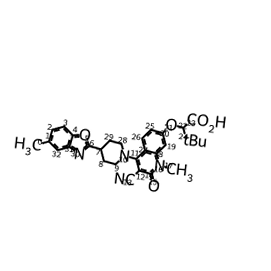 Cc1ccc2oc(C3CCN(c4c(C#N)c(=O)n(C)c5cc(O[C@@H](C(=O)O)C(C)(C)C)ccc45)CC3)nc2c1